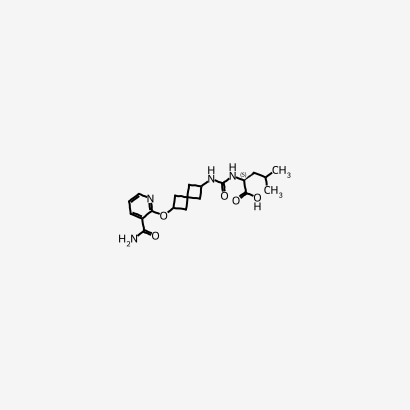 CC(C)C[C@H](NC(=O)NC1CC2(C1)CC(Oc1ncccc1C(N)=O)C2)C(=O)O